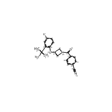 CC(C)(C)c1cc(F)ccc1OC1CN(C(=O)c2ccc(C#N)cc2)C1